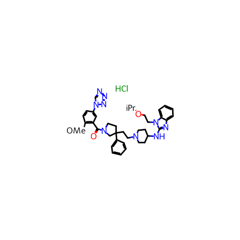 COc1ccc(-n2cnnn2)cc1C(=O)N1CCC(CCN2CCC(Nc3nc4ccccc4n3CCOC(C)C)CC2)(c2ccccc2)C1.Cl